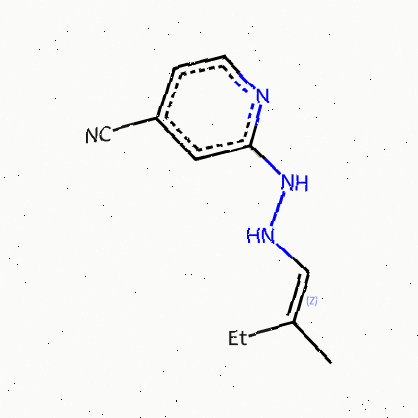 CC/C(C)=C\NNc1cc(C#N)ccn1